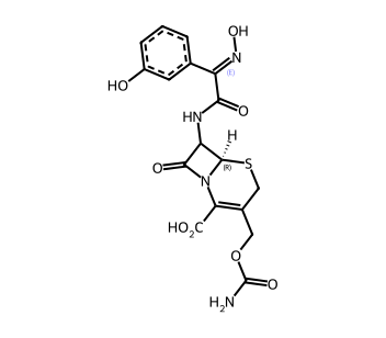 NC(=O)OCC1=C(C(=O)O)N2C(=O)C(NC(=O)/C(=N/O)c3cccc(O)c3)[C@H]2SC1